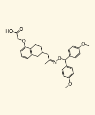 COc1ccc(C(O/N=C(/C)CC2CCc3c(cccc3OCC(=O)O)C2)c2ccc(OC)cc2)cc1